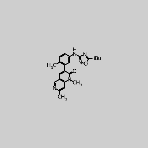 CC[C@H](C)c1nc(Nc2ccc(C)c(-c3cc4cnc(C)cc4n(C)c3=O)c2)no1